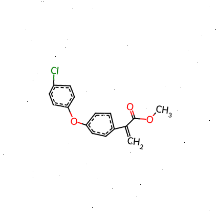 C=C(C(=O)OC)c1ccc(Oc2ccc(Cl)cc2)cc1